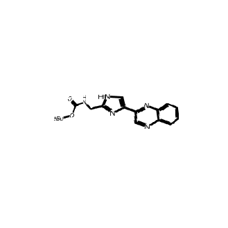 CC(C)(C)OC(=O)NCc1nc(-c2cnc3ccccc3n2)c[nH]1